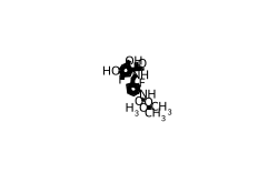 CC(C)(C)OC(=O)Nc1cccc(CNC2(c3cc(F)c(O)cc3O)COC2)c1F